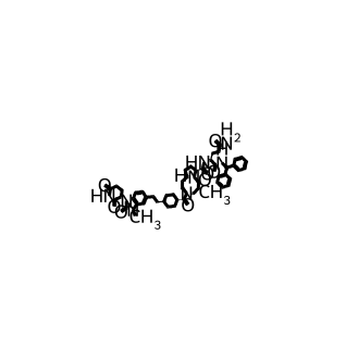 C[C@H]1CN(C(=O)[C@H]2CC[C@H](CCc3ccc4c(c3)n(C)c(=O)n4C3CCC(=O)NC3=O)CC2)CC[C@H]2CC[C@@H](C(=O)N[C@@H](CCC(N)=O)C(=O)NC(c3ccccc3)c3ccccc3)N2C1=O